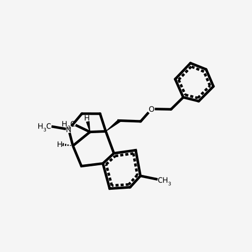 Cc1ccc2c(c1)[C@@]1(CCOCc3ccccc3)CCN(C)[C@H](C2)[C@@H]1C